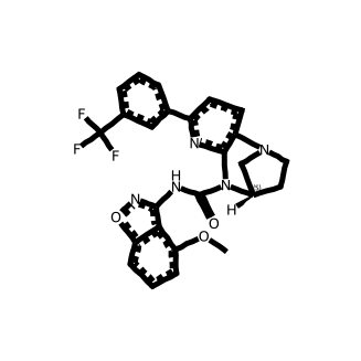 COc1cccc2onc(NC(=O)N3c4nc(-c5cccc(C(F)(F)F)c5)ccc4N4CC[C@H]3C4)c12